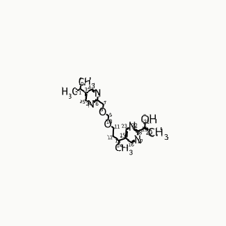 CC(C)c1cnc(COCOCCC(C)c2cnc(C(C)O)nc2)nc1